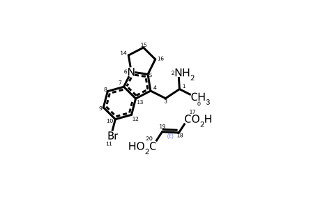 CC(N)Cc1c2n(c3ccc(Br)cc13)CCC2.O=C(O)/C=C/C(=O)O